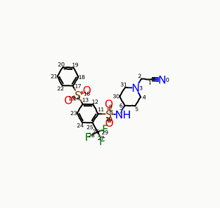 N#CCN1CCC(NS(=O)(=O)c2cc(S(=O)(=O)c3ccccc3)ccc2C(F)(F)F)CC1